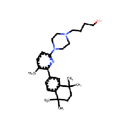 COc1ccc(N2CCN(CCCCO)CC2)nc1-c1ccc2c(c1)C(C)(C)CCC2(C)C